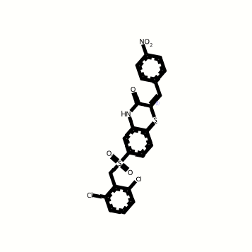 O=C1Nc2cc(S(=O)(=O)Cc3c(Cl)cccc3Cl)ccc2S/C1=C/c1ccc([N+](=O)[O-])cc1